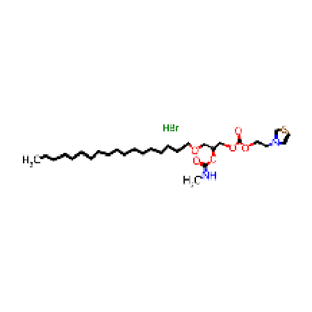 Br.CCCCCCCCCCCCCCCCCCOC[C@@H](COC(=O)OCCN1C=CSC1)OC(=O)NC